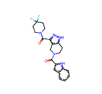 O=C(c1cc2ccccc2[nH]1)N1CCc2[nH]nc(C(=O)N3CCC(F)(F)CC3)c2C1